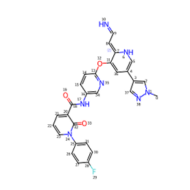 Cn1cc(C2=CN/C(=C\C=N)C(Oc3ccc(NC(=O)c4cccn(-c5ccc(F)cc5)c4=O)cn3)=C2)cn1